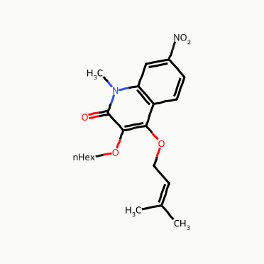 CCCCCCOc1c(OCC=C(C)C)c2ccc([N+](=O)[O-])cc2n(C)c1=O